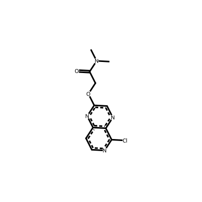 CN(C)C(=O)COc1cnc2c(Cl)nccc2n1